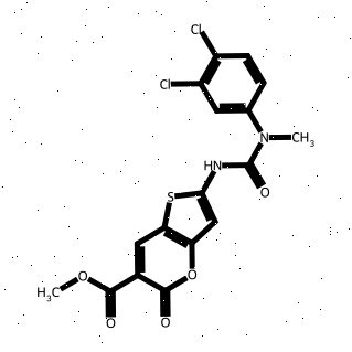 COC(=O)c1cc2sc(NC(=O)N(C)c3ccc(Cl)c(Cl)c3)cc2oc1=O